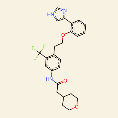 O=C(CC1CCOCC1)Nc1ccc(CCOc2ccccc2-c2c[nH]cn2)c(C(F)(F)F)c1